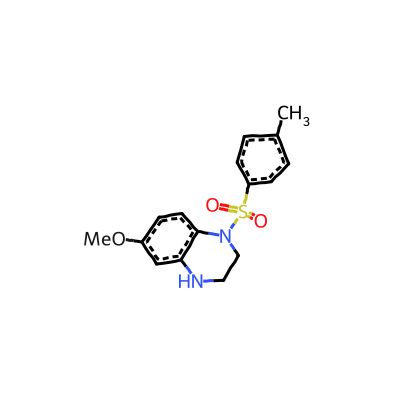 COc1ccc2c(c1)NCCN2S(=O)(=O)c1ccc(C)cc1